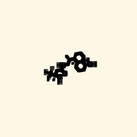 C[C@H](CNC(=O)C[C@@](C)(O)C(F)(F)F)[C@H]1CCC[C@H]2[C@@H](O)CCC[C@@]12C